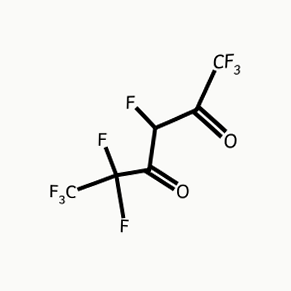 O=C(C(F)C(=O)C(F)(F)C(F)(F)F)C(F)(F)F